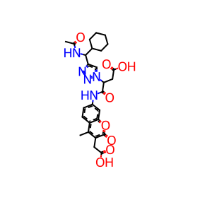 CC(=O)NC(c1cn(C(CC(=O)O)C(=O)Nc2ccc3c(C)c(CC(=O)O)c(=O)oc3c2)nn1)C1CCCCC1